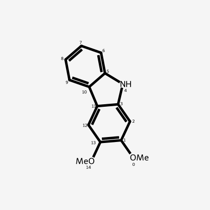 COc1cc2[nH]c3ccccc3c2cc1OC